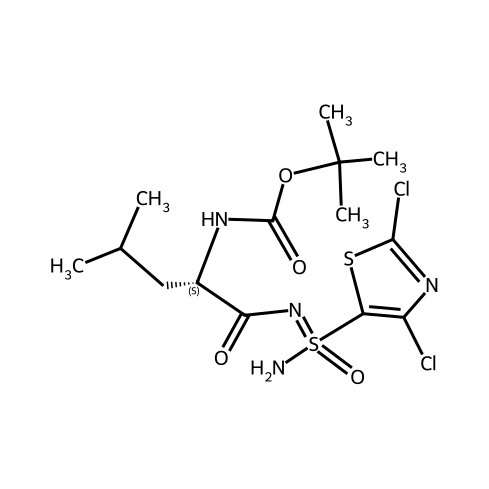 CC(C)C[C@H](NC(=O)OC(C)(C)C)C(=O)N=S(N)(=O)c1sc(Cl)nc1Cl